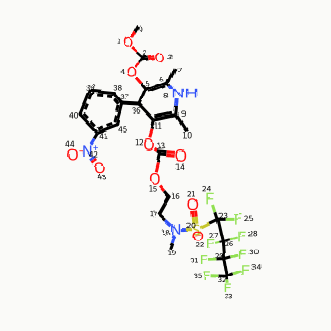 COC(=O)OC1=C(C)NC(C)=C(OC(=O)OCCN(C)S(=O)(=O)C(F)(F)C(F)(F)C(F)(F)C(F)(F)F)C1c1cccc([N+](=O)[O-])c1